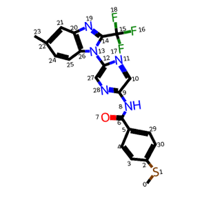 CSc1ccc(C(=O)Nc2cnc(-n3c(C(F)(F)F)nc4cc(C)ccc43)cn2)cc1